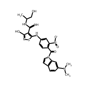 CC(CO)NC(=N)c1c(O)nsc1Nc1ccc(C(=O)n2ccc3ccc(N(C)C)cc32)c([N+](=O)[O-])c1